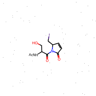 CC(=O)NC(CO)C(=O)N1C(=O)C=CC1CI